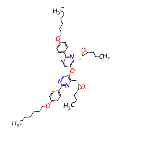 CCCCCCOc1ccc(-c2ncc(Oc3cnc(-c4ccc(OCCCCCC)cc4)nc3C[C@@H]3O[C@H]3CCC)c(C[C@@H]3O[C@H]3CCC)n2)cc1